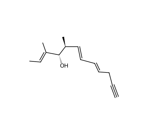 C#CC/C=C/C=C/[C@H](C)[C@H](O)/C(C)=C/C